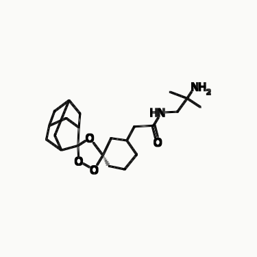 CC(C)(N)CNC(=O)CC1CCC[C@]2(C1)OOC1(O2)C2CC3CC(C2)CC1C3